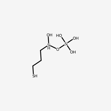 O[SiH](CCCS)O[Si](O)(O)O